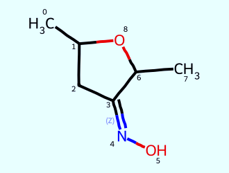 CC1C/C(=N/O)C(C)O1